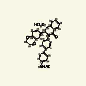 CC(=O)Nc1ccc(-c2ccc(N3C(=O)c4ccccc4[C@@H](C(=O)O)[C@@H]3c3ccc4c(c3)OCCO4)cc2)cc1